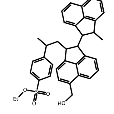 CCOS(=O)(=O)c1ccc(C(C)CC2c3ccc(CO)c4cccc(c34)C2C2c3cccc4cccc(c34)C2C)cc1